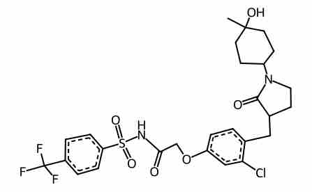 CC1(O)CCC(N2CCC(Cc3ccc(OCC(=O)NS(=O)(=O)c4ccc(C(F)(F)F)cc4)cc3Cl)C2=O)CC1